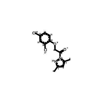 Cc1cc(C)n(C(=O)COc2ccc(Cl)cc2Cl)n1